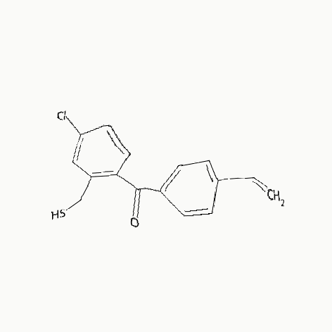 C=Cc1ccc(C(=O)c2ccc(Cl)cc2CS)cc1